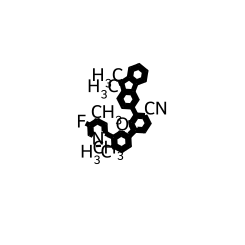 Cc1cc(-c2c(C)ccc3c2oc2c(-c4ccc5c(c4)-c4ccccc4C5(C)C)c(C#N)ccc23)[n+](C)cc1F